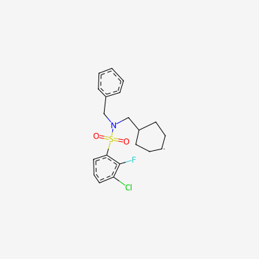 O=S(=O)(c1cccc(Cl)c1F)N(Cc1ccccc1)CC1CC[CH]CC1